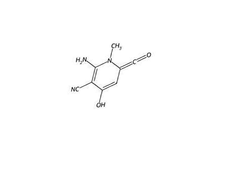 CN1C(=C=O)C=C(O)C(C#N)=C1N